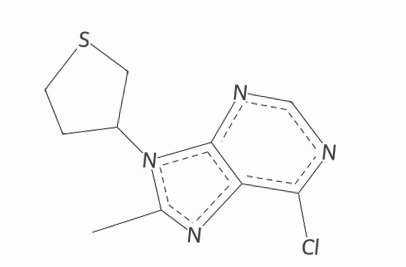 Cc1nc2c(Cl)ncnc2n1C1CCSC1